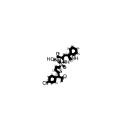 CC(=O)C(c1ccc(Cl)cc1)c1ccc(S(=O)(=O)NC(Cc2c[nH]c3ccccc23)C(=O)NO)s1